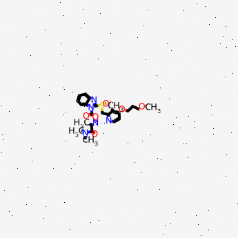 COCCCOc1ccnc(C[S+]([O-])c2nc3ccccc3n2C(=O)O/N=C(\C)C(=O)N(C)C)c1C